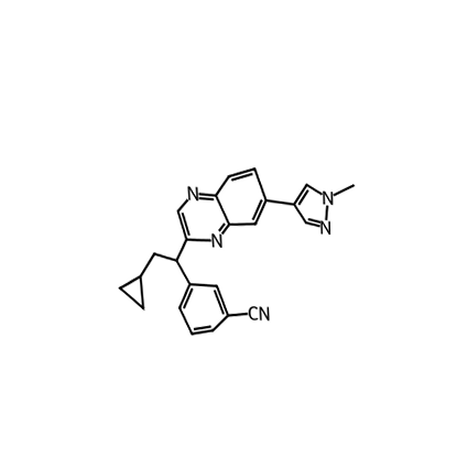 Cn1cc(-c2ccc3ncc(C(CC4CC4)c4cccc(C#N)c4)nc3c2)cn1